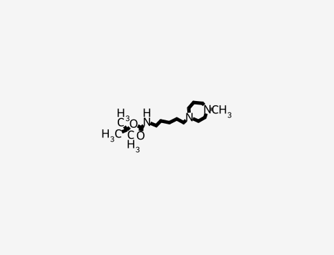 CN1CCCN(CCCCCNC(=O)OC(C)(C)C)CC1